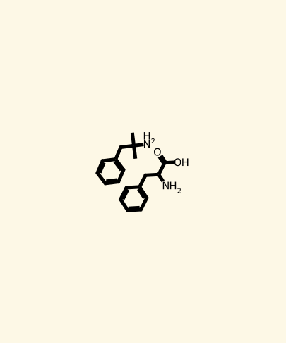 CC(C)(N)Cc1ccccc1.NC(Cc1ccccc1)C(=O)O